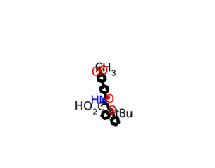 CC(C)(C)[Si](OCC[C@H](NC(=O)c1ccc(-c2ccc(S(C)(=O)=O)cc2)cc1)C(=O)O)(c1ccccc1)c1ccccc1